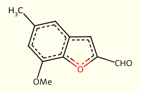 COc1cc(C)cc2cc(C=O)oc12